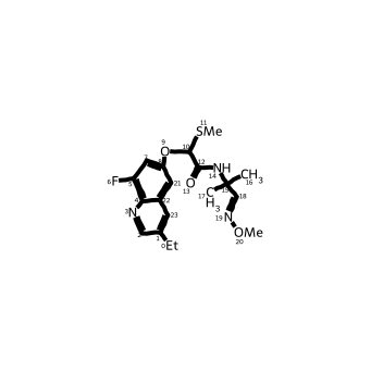 CCc1cnc2c(F)cc(OC(SC)C(=O)NC(C)(C)C=NOC)cc2c1